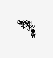 CC(c1ccncc1NS(=O)(=O)N1CCOCC1)C1NC(=O)N(c2ccc(OC(F)(F)F)cc2)C1=O